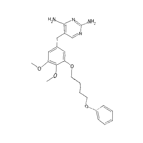 COc1cc(Cc2cnc(N)nc2N)cc(OCCCCOc2ccccc2)c1OC